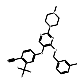 Cc1cccc(COc2nc(N3CCN(C)CC3)ncc2Sc2ccc(C#N)c(C(F)(F)F)c2)c1